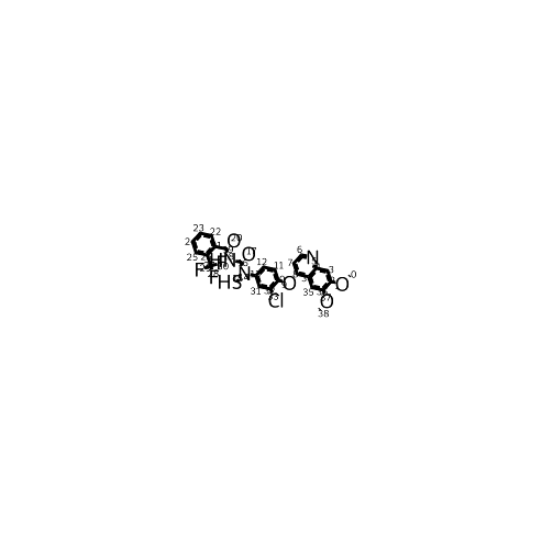 COc1cc2nccc(Oc3ccc(N(S)C(=O)NC(=O)c4ccccc4C(F)(F)F)cc3Cl)c2cc1OC